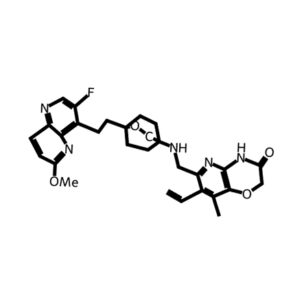 C=Cc1c(CNC23CCC(CCc4c(F)cnc5ccc(OC)nc45)(CC2)OC3)nc2c(c1C)OCC(=O)N2